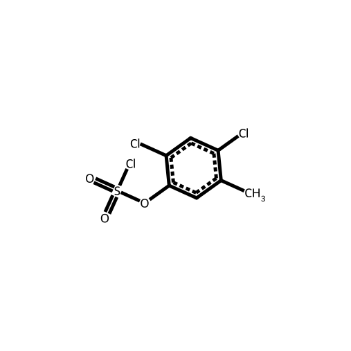 Cc1cc(OS(=O)(=O)Cl)c(Cl)cc1Cl